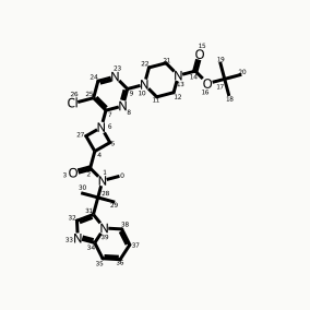 CN(C(=O)C1CN(c2nc(N3CCN(C(=O)OC(C)(C)C)CC3)ncc2Cl)C1)C(C)(C)c1cnc2ccccn12